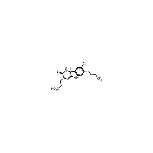 CC(C)C1=CN(CCC(=O)O)C(=O)N[C@@]1(C)c1ccc(CCCC(F)(F)F)c(Cl)c1